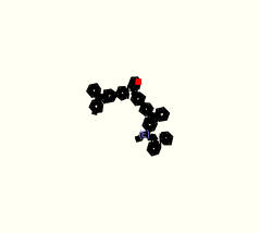 C=C/C=C(\CCN(c1ccccc1)c1ccccc1)c1ccc(N(c2ccccc2)c2ccc(-c3ccc(N(c4ccccc4)c4ccc(-c5ccc(N(C6=CCC(C)C=C6)c6ccccc6)cc5)cc4)cc3)cc2)cc1